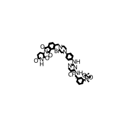 CN(c1cccc(CNc2nc(Nc3ccc(N4CCN(Cc5ccc6c(c5Br)C(=O)N(C5CCC(=O)NC5=O)C6=O)CC4)cc3)ncc2C(F)(F)F)c1)S(C)(=O)=O